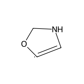 [C]1=CNCO1